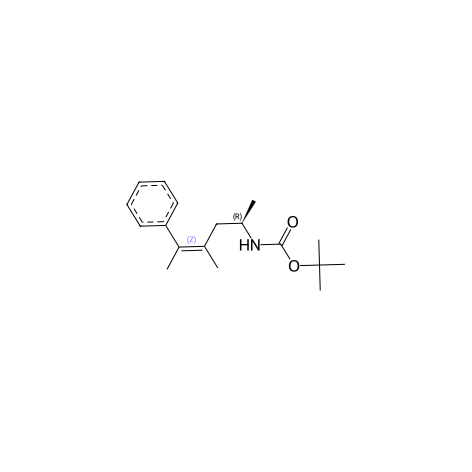 C/C(C[C@@H](C)NC(=O)OC(C)(C)C)=C(\C)c1ccccc1